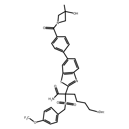 CCCCCCCCCCCCCCC(C(N)=O)(c1nc2ccc(-c3ccc(C(=O)N4CC(C)(O)C4)cc3)cc2s1)S(=O)(=O)Cc1ccc(OC(F)(F)F)cc1